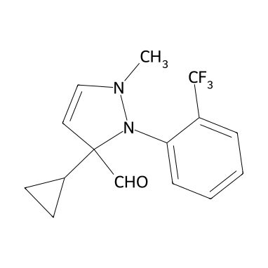 CN1C=CC(C=O)(C2CC2)N1c1ccccc1C(F)(F)F